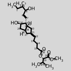 CCC(C)C(O)/C=C/[C@@H]1[C@H]2C/C(=C/CCCC(=O)O[C@H](C(=O)OC)C(C)C)C[C@H]2C[C@H]1O